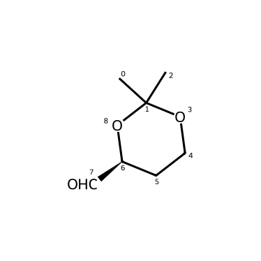 CC1(C)OCC[C@@H](C=O)O1